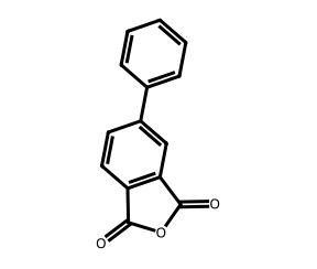 O=C1OC(=O)c2cc(-c3ccccc3)ccc21